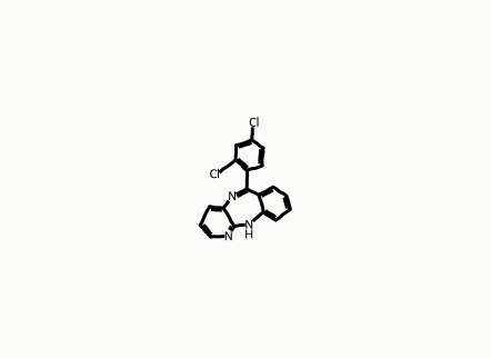 Clc1ccc(C2=Nc3cccnc3Nc3ccccc32)c(Cl)c1